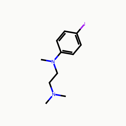 CN(C)CCN(C)c1ccc(I)cc1